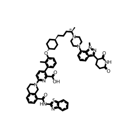 Cc1c(O[C@H]2CC[C@H](CCC[C@@H](C)N3CCN(c4cccc5c(C6CCC(=O)NC6=O)nn(C)c45)CC3)CC2)cccc1-c1ccc(N2CCc3cccc(C(=O)Nc4nc5ccccc5s4)c3C2)nc1C(=O)O